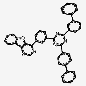 c1ccc(-c2ccc(-c3nc(-c4cccc(-c5ccccc5)c4)nc(-c4cccc(-c5ncnc6c5oc5ccccc56)c4)n3)cc2)cc1